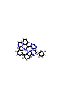 c1ccc(/C(c2ncncn2)=c2\n3c4nccnc4c4cccc(c5cccc6c7nc(-c8ccccc8)cnc7n2c56)c43)cc1